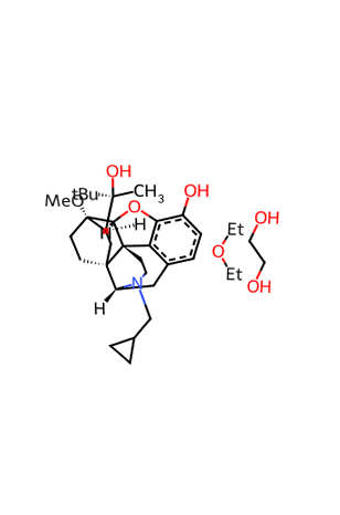 CCOCC.CO[C@@]12CC[C@@]3(C[C@@H]1[C@](C)(O)C(C)(C)C)[C@H]1Cc4ccc(O)c5c4[C@@]3(CCN1CC1CC1)[C@H]2O5.OCCO